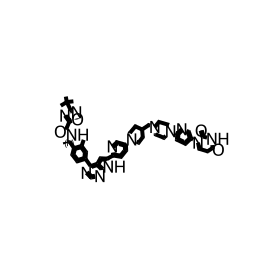 Cc1cc(-c2ncnc3[nH]c(-c4ccc(N5CCC(CN6CCN(c7ccc(N8CCC(=O)NC8=O)cn7)CC6)CC5)cn4)cc23)ccc1[C@@H](C)NC(=O)c1nc(C(C)(C)C)no1